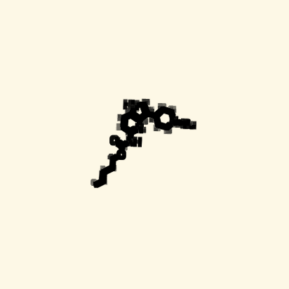 C/C=C/CCOC(=O)Nc1ccc2[nH]cc(C3CCN(C(C)CC)CC3)c2n1